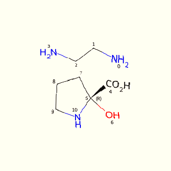 NCCN.O=C(O)[C@]1(O)CCCN1